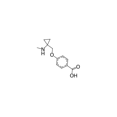 CNC1(COc2ccc(C(=O)O)cc2)CC1